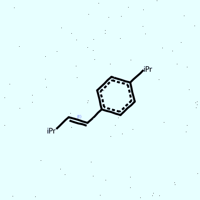 CC(C)/C=C/c1ccc(C(C)C)cc1